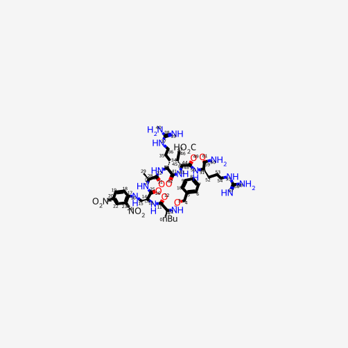 CCCC[C@H](NOCc1ccccc1)C(=O)N[C@@H](CNc1ccc([N+](=O)[O-])cc1[N+](=O)[O-])C(=O)N[C@@H](C)C(=O)N[C@H](CCCNC(=N)N)C(=O)N[C@H](CCC(=O)O)C(=O)N[C@H](CCCNC(=N)N)C(N)=O